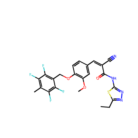 CCc1nnc(NC(=O)C(C#N)=Cc2ccc(OCc3c(F)c(F)c(C)c(F)c3F)c(OC)c2)s1